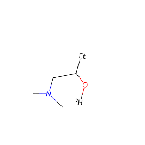 [3H]OC(CC)CN(C)C